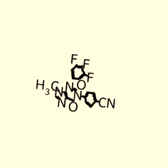 Cn1cnc2c(=O)n(-c3ccc(C#N)cc3)c(Oc3ccc(F)c(F)c3F)nc21